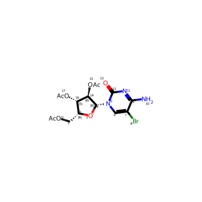 CC(=O)OC[C@H]1O[C@@H](n2cc(Br)c(N)nc2=O)[C@H](OC(C)=O)[C@H]1OC(C)=O